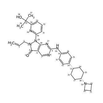 C=CCn1c(=O)c2cnc(Nc3ccc([C@H]4CC[C@@H](N5CCC5)CC4)cc3)nc2n1-c1cccc(C(C)(C)O)n1